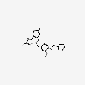 COc1cc(Cc2nc3cc(F)ccc3c3nc(N)nn23)ccc1OCc1ccccc1